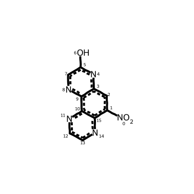 O=[N+]([O-])c1cc2nc(O)cnc2c2nccnc12